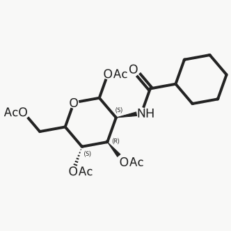 CC(=O)OCC1OC(OC(C)=O)[C@@H](NC(=O)C2CCCCC2)[C@@H](OC(C)=O)[C@@H]1OC(C)=O